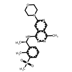 Cc1c([C@@H](C)Nc2nnc(C)c3cnc(N4CCOCC4)cc23)cccc1S(C)(=O)=O